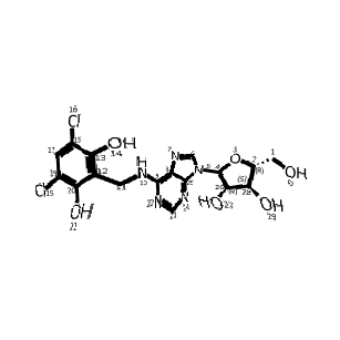 OC[C@H]1OC(n2cnc3c(NCc4c(O)c(Cl)cc(Cl)c4O)ncnc32)[C@H](O)[C@@H]1O